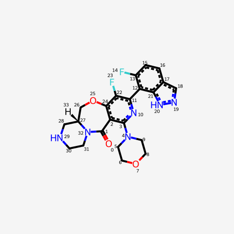 O=C1c2c(N3CCOCC3)nc(-c3c(F)ccc4cn[nH]c34)c(F)c2OC[C@H]2CNCCN12